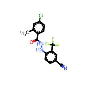 Cc1cc(Cl)ccc1C(=O)NNc1ccc(C#N)cc1C(F)(F)F